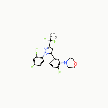 Fc1ccc(N2N=C(C(F)(F)C(F)(F)F)CC2c2ccc(F)c(N3CCOCC3)c2)c(F)c1